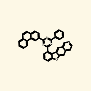 c1ccc(-c2nc(-c3ccc4ccc5ccccc5c4c3)nc(-c3cccc4oc5cc6ccncc6cc5c34)n2)cc1